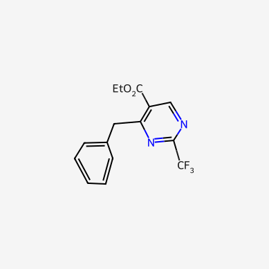 CCOC(=O)c1cnc(C(F)(F)F)nc1Cc1ccccc1